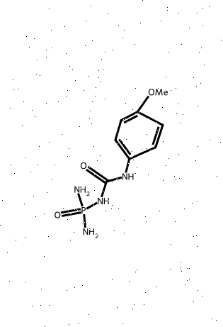 COc1ccc(NC(=O)NP(N)(N)=O)cc1